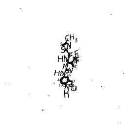 Cc1csc(CNc2nc(Nc3ccc4c(c3)CC(=O)N4)ncc2C(F)(F)F)n1